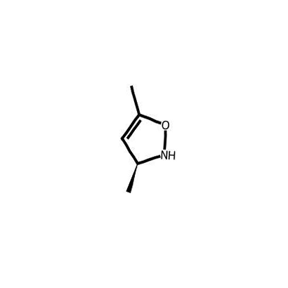 CC1=C[C@H](C)NO1